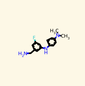 CN(C)c1ccc(Nc2cc(F)cc(CN)c2)cc1